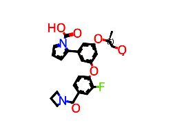 COC[C@H](C)Oc1cc(Oc2ccc(C(=O)N3CCC3)cc2F)cc(-c2cccn2C(=O)O)c1